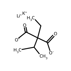 CCC(C(=O)[O-])(C(=O)[O-])C(C)C.[K+].[Li+]